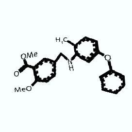 COC(=O)c1cc(CNc2cc(Oc3ccccc3)ccc2C)ccc1OC